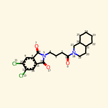 O=C(CCCN1C(=O)c2cc(Cl)c(Cl)cc2C1=O)N1CCC2CCCCC2C1